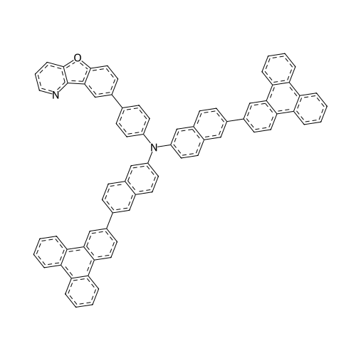 c1cnc2c(c1)oc1ccc(-c3ccc(N(c4ccc5cc(-c6ccc7c8ccccc8c8ccccc8c7c6)ccc5c4)c4ccc5cc(-c6ccc7c8ccccc8c8ccccc8c7c6)ccc5c4)cc3)cc12